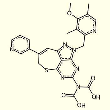 COc1c(C)cnc(Cn2nc3c4c(nc(N(C(=O)O)C(=O)O)nc42)SCC(c2cccnc2)=C3)c1C